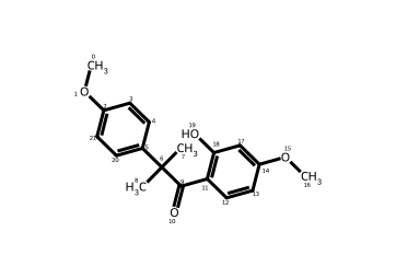 COc1ccc(C(C)(C)C(=O)c2ccc(OC)cc2O)cc1